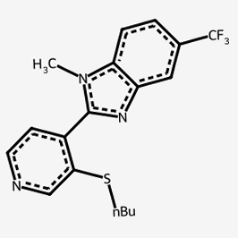 CCCCSc1cnccc1-c1nc2cc(C(F)(F)F)ccc2n1C